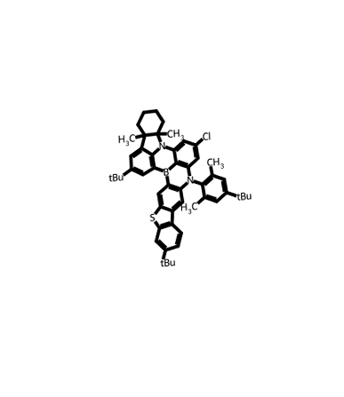 Cc1cc(C(C)(C)C)cc(C)c1N1c2cc3c(cc2B2c4cc(C(C)(C)C)cc5c4N(c4cc(Cl)cc1c42)C1(C)CCCCC51C)sc1cc(C(C)(C)C)ccc13